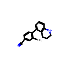 Cc1cc(C#N)ccc1-c1cccc2c1CCCN2